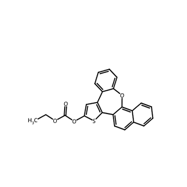 CCOC(=O)Oc1cc2c(s1)-c1ccc3ccccc3c1Oc1ccccc1-2